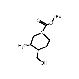 C[C@H]1CN(C(=O)OC(C)(C)C)CC[C@H]1CO